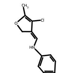 CC1=C(Cl)/C(=C/Nc2ccccc2)CO1